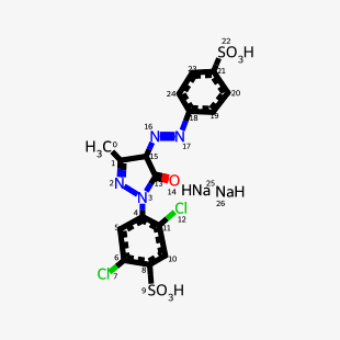 CC1=NN(c2cc(Cl)c(S(=O)(=O)O)cc2Cl)C(=O)C1N=Nc1ccc(S(=O)(=O)O)cc1.[NaH].[NaH]